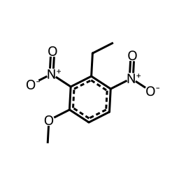 CCc1c([N+](=O)[O-])ccc(OC)c1[N+](=O)[O-]